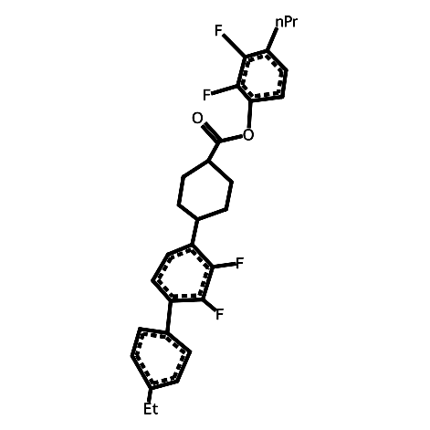 CCCc1ccc(OC(=O)C2CCC(c3ccc(-c4ccc(CC)cc4)c(F)c3F)CC2)c(F)c1F